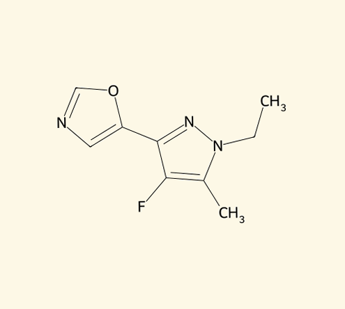 CCn1nc(-c2cnco2)c(F)c1C